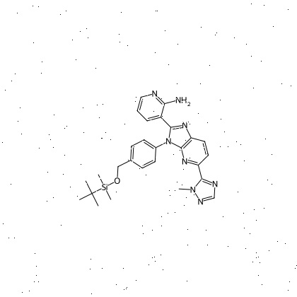 Cn1ncnc1-c1ccc2nc(-c3cccnc3N)n(-c3ccc(CO[Si](C)(C)C(C)(C)C)cc3)c2n1